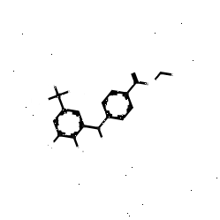 CCOC(=O)c1ccc(C(O)c2cc(C(C)(C)C)cc(N)c2O)cc1